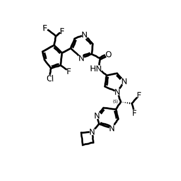 O=C(Nc1cnn([C@@H](c2cnc(N3CCC3)nc2)C(F)F)c1)c1cncc(-c2c(C(F)F)ccc(Cl)c2F)n1